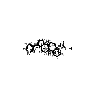 CC(=O)N1CCC[C@@]2(C)[C@@H]1CC[C@@H]1[C@@H]2CC[C@]2(C)C(c3cccnc3)=CC[C@@H]12